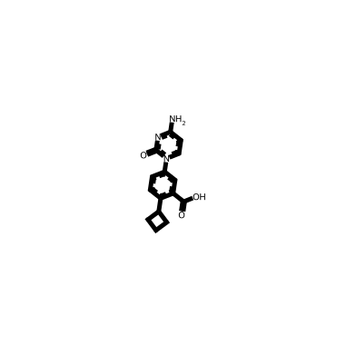 Nc1ccn(-c2ccc(C3CCC3)c(C(=O)O)c2)c(=O)n1